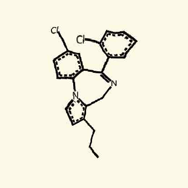 CCCc1ccn2c1CN=C(c1ccccc1Cl)c1cc(Cl)ccc1-2